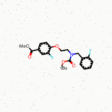 COC(=O)c1ccc(OCCN(Cc2ccccc2F)C(=O)OC(C)(C)C)c(F)c1